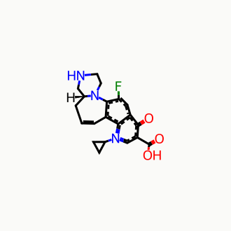 O=C(O)c1cn(C2CC2)c2c3c(c(F)cc2c1=O)N1CCNC[C@H]1CC=C3